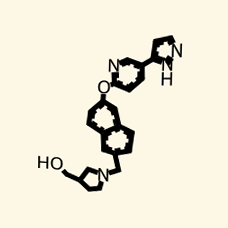 OCC1CCN(Cc2ccc3cc(Oc4ccc(-c5ccn[nH]5)cn4)ccc3c2)C1